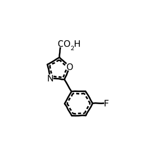 O=C(O)c1cnc(-c2cccc(F)c2)o1